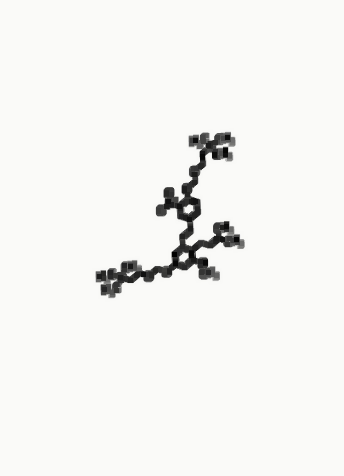 COc1cc(OCOCC[Si](C)(C)C)cc(C=Cc2ccc(OCOCC[Si](C)(C)C)c([N+](=O)[O-])c2)c1CC=C(C)C